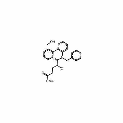 CO.COC(=O)CCC(Cl)C(=O)N(Cc1ccccc1)c1ccccc1-c1ccccc1